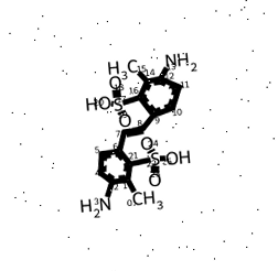 Cc1c(N)ccc(/C=C/c2ccc(N)c(C)c2S(=O)(=O)O)c1S(=O)(=O)O